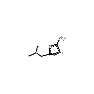 CN(C)Cc1cnc(C(=O)O)s1